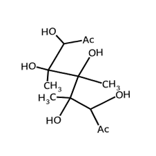 CC(=O)C(O)C(C)(O)C(C)(O)C(C)(O)C(O)C(C)=O